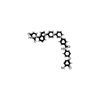 N#Cc1ccc(OC2CCC(NC(=O)c3ccc(N4CCCC(N5CCC(n6ccc7c(N8CCC(=O)NC8=O)cccc76)CC5)C4)cc3)CC2)cc1Cl